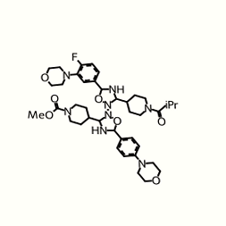 COC(=O)N1CCC(C2NC(c3ccc(N4CCOCC4)cc3)ON2N2OC(c3ccc(F)c(N4CCOCC4)c3)NC2C2CCN(C(=O)C(C)C)CC2)CC1